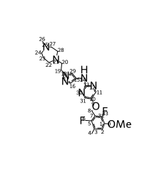 COc1cc(C)c(F)c(COc2cnc(Nc3cnn(CCN4CCCN(C)CC4)c3)nc2)c1F